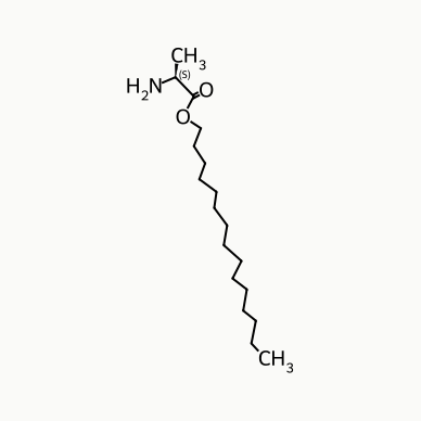 CCCCCCCCCCCCCCCOC(=O)[C@H](C)N